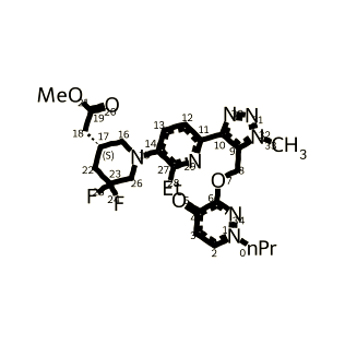 CCCn1ccc(=O)c(OCc2c(-c3ccc(N4C[C@@H](CC(=O)OC)CC(F)(F)C4)c(CC)n3)nnn2C)n1